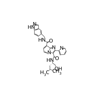 CC(C)C[C@@H](CO)NC(=O)c1c(-c2ccccn2)nc2c(C(=O)NCc3ccc4[nH]ncc4c3)cccn12